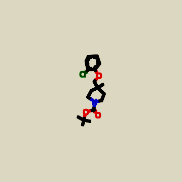 CC1(COc2ccccc2Cl)CCN(C(=O)OC(C)(C)C)CC1